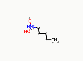 CCCCC[NH+]([O-])O